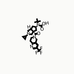 CC(C)(C)N(C(=O)O)[C@@H]1C[C@H]2CN(C3CC3)C[C@@]2(C(=O)N2CCc3ncc(C(F)(F)F)cc3C2)C1